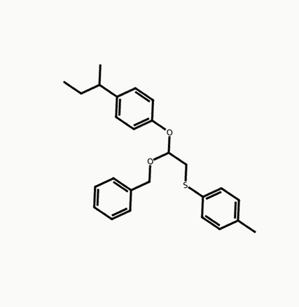 CCC(C)c1ccc(OC(CSc2ccc(C)cc2)OCc2ccccc2)cc1